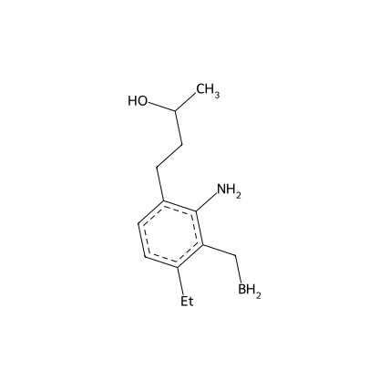 BCc1c(CC)ccc(CCC(C)O)c1N